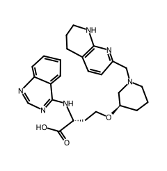 O=C(O)[C@@H](CCO[C@@H]1CCCN(Cc2ccc3c(n2)NCCC3)C1)Nc1ncnc2ccccc12